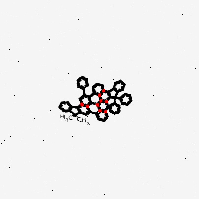 CC1(C)c2ccccc2-c2ccc(-c3ccccc3N(c3ccc4c(c3)C(c3ccccc3)(c3ccccc3)c3ccccc3-4)c3cccc(-c4ccccc4)c3-c3ccccc3-c3ccccc3)cc21